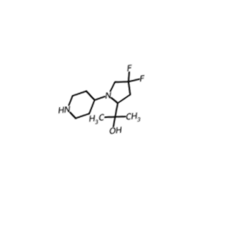 CC(C)(O)C1CC(F)(F)CN1C1CCNCC1